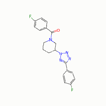 O=C(c1ccc(F)cc1)N1CCCC(n2nnc(-c3ccc(F)cc3)n2)C1